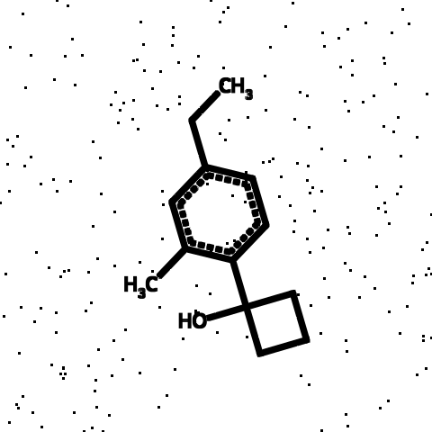 CCc1ccc(C2(O)CCC2)c(C)c1